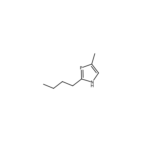 CCCCc1[nH]cc(C)p1